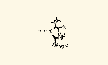 CCCCCCCC(=O)NC(CC)C(C(=O)[O-])[N+](C)(C)C